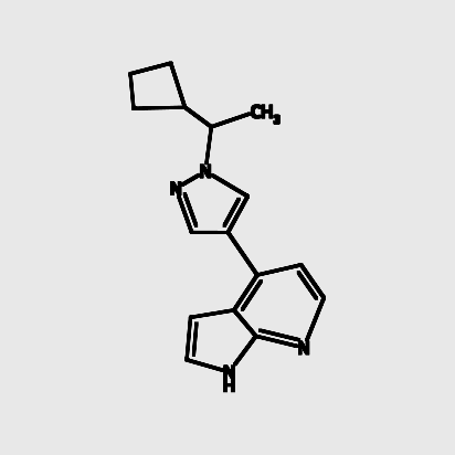 CC(C1CCC1)n1cc(-c2ccnc3[nH]ccc23)cn1